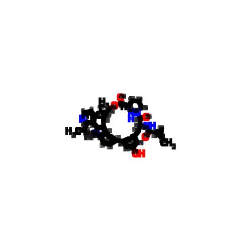 CCn1c(-c2cccnc2[C@H](C)OC)c2c3cc(ccc31)-c1cc(O)cc(c1)C[C@H](NC(=O)[C@H]1C[C@@H]1C)C(=O)N1CCC[C@H](N1)C(=O)OCC(C)(C)C2